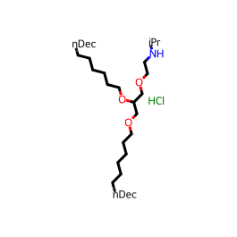 CCCCCCCCCCCCCCCCOCC(COCCNC(C)C)OCCCCCCCCCCCCCCCC.Cl